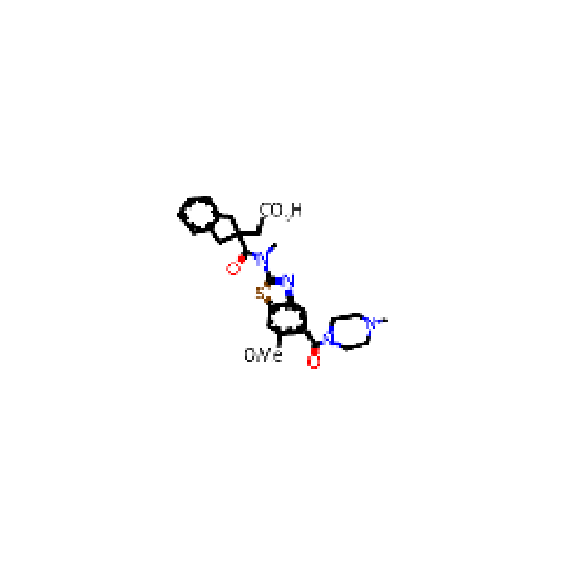 COc1cc2sc(N(C)C(=O)C3(CC(=O)O)Cc4ccccc4C3)nc2cc1C(=O)N1CCN(C)CC1